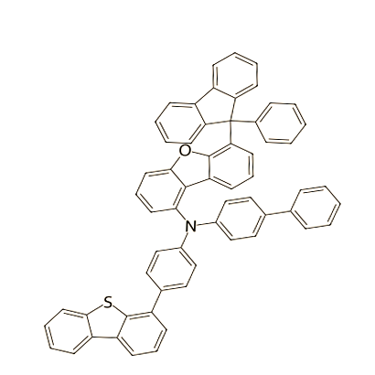 c1ccc(-c2ccc(N(c3ccc(-c4cccc5c4sc4ccccc45)cc3)c3cccc4oc5c(C6(c7ccccc7)c7ccccc7-c7ccccc76)cccc5c34)cc2)cc1